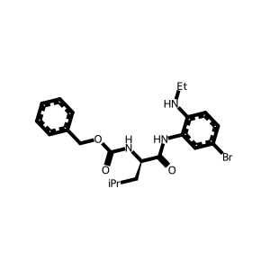 CCNc1ccc(Br)cc1NC(=O)[C@@H](CC(C)C)NC(=O)OCc1ccccc1